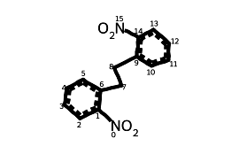 O=[N+]([O-])c1ccccc1CCc1ccccc1[N+](=O)[O-]